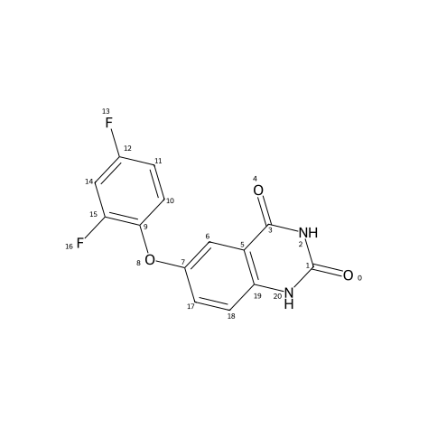 O=c1[nH]c(=O)c2cc(Oc3ccc(F)cc3F)ccc2[nH]1